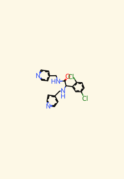 O=C(NCc1ccncc1)C(NCc1ccncc1)c1cc(Cl)ccc1Cl